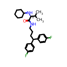 CC(C)[C@H](NC1CCCCC1)C(=O)NCCCC(c1ccc(F)cc1)c1ccc(F)cc1